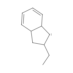 CCC1[C]C2C=CC=CC2C1